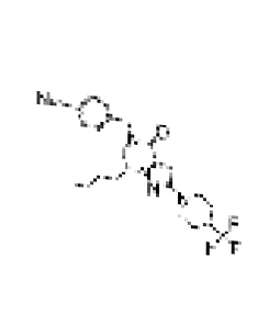 CCCCC1CN(Cc2ccc(C#N)cc2)C(=O)c2cc(N3CCC(C(F)(F)F)CC3)nn21